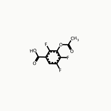 CC(=O)Oc1c(F)c(F)cc(C(=O)O)c1F